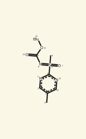 Cc1cnc(S(C)(=O)=NC(=O)OC(C)(C)C)nc1